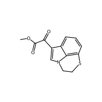 COC(=O)C(=O)c1cn2c3c(cccc13)SCC2